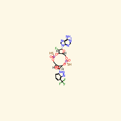 Nc1ncnc2c1ncn2[C@@H]1O[C@@H]2COP(=O)(S)O[C@@H]3[C@H](O)[C@@H](COP(=O)(S)O[C@H]2[C@H]1F)O[C@H]3n1nnc2c(C(F)(F)F)cccc21